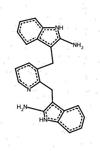 Nc1[nH]c2ccccc2c1Cc1cccnc1Cc1c(N)[nH]c2ccccc12